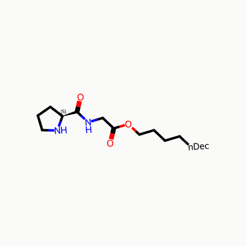 CCCCCCCCCCCCCCOC(=O)CNC(=O)[C@@H]1CCCN1